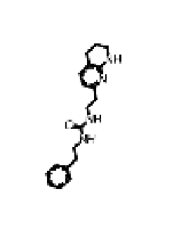 O=C(NCCc1ccccc1)NCCc1ccc2c(n1)NCCC2